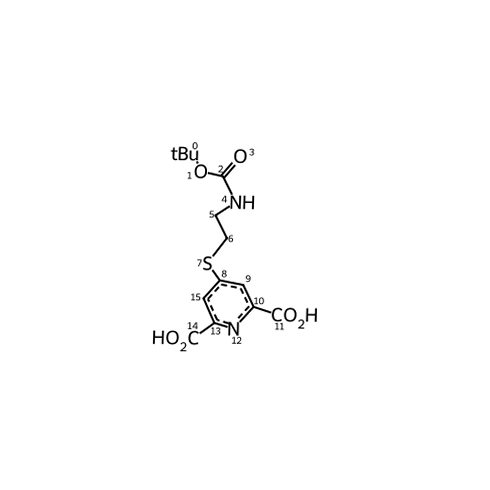 CC(C)(C)OC(=O)NCCSc1cc(C(=O)O)nc(C(=O)O)c1